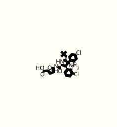 CC(C)(C)C[C@@H]1N[C@@H](C(=O)Nc2ccc(C(=O)O)o2)[C@H](c2cccc(Cl)c2F)[C@@]1(N)c1ccc(Cl)cc1F